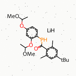 COC(C)Oc1ccc(PC(=O)c2c(C)cc(C(C)(C)C)cc2C)c(OC(C)OC)c1.[LiH]